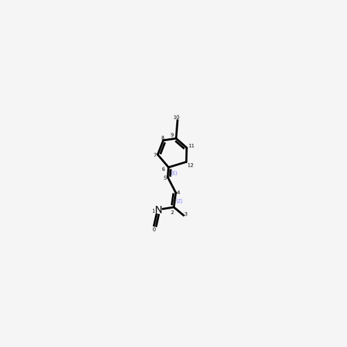 C=N/C(C)=C\C=C1\C=CC(C)=CC1